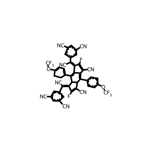 N#CC1=C(F)/C(=C(/C#N)c2cc(C#N)cc(C#N)c2)C2=C(C3=CC=C(OC(F)(F)F)CC3)C3/C(=C(\C#N)c4cc(C#N)cc(C#N)c4)C(F)=C(C#N)C3C(c3ccc(OC(F)(F)F)cc3)=C12